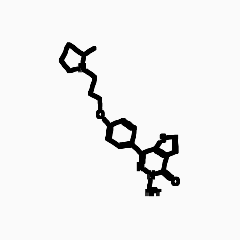 CCCn1nc(-c2ccc(OCCCN3CCCC3C)cc2)c2sccc2c1=O